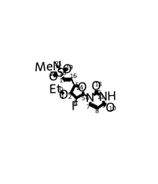 CCO[C@H]1[C@@H](F)[C@H](n2ccc(=O)[nH]c2=O)O[C@@H]1/C=C/S(=O)(=O)NC